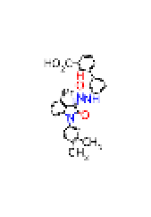 Cc1ccc(N2C(=O)/C(=N\Nc3cccc(-c4cccc(C(=O)O)c4)c3O)c3c(C(C)C)cccc32)cc1C